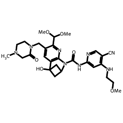 COCCNc1cc(NC(=O)N2c3nc(C(OC)OC)c(CN4CCN(C)CC4=O)cc3C3(O)CC2C3)ncc1C#N